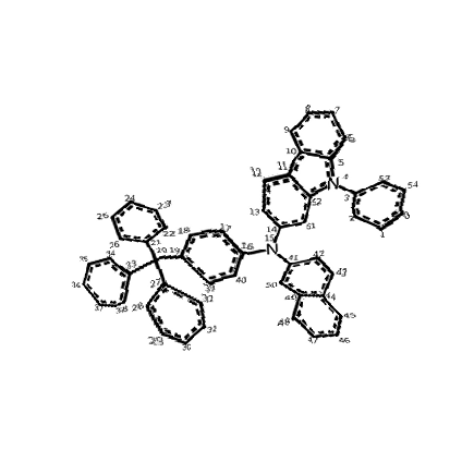 c1ccc(-n2c3ccccc3c3ccc(N(c4ccc(C(c5ccccc5)(c5ccccc5)c5ccccc5)cc4)c4ccc5ccccc5c4)cc32)cc1